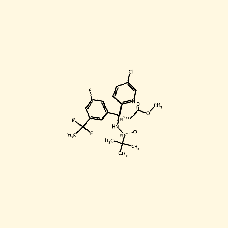 COC(=O)C[C@](N[S@+]([O-])C(C)(C)C)(c1cc(F)cc(C(C)(F)F)c1)c1ccc(Cl)cn1